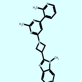 Cc1nc(-c2cccnc2C)cc(N2CC(c3nc4ccccc4n3C)C2)n1